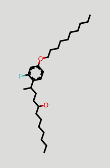 CCCCCCCCCCOc1ccc(C(C)CCC([O])CCCCCCC)c(F)c1